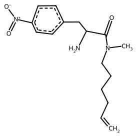 C=CCCCCN(C)C(=O)C(N)Cc1ccc([N+](=O)[O-])cc1